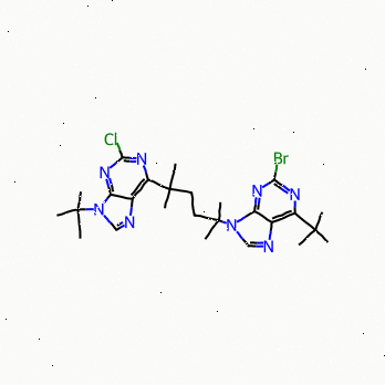 CC(C)(C)c1nc(Br)nc2c1ncn2C(C)(C)CCC(C)(C)c1nc(Cl)nc2c1ncn2C(C)(C)C